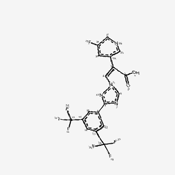 O=C(O)C(=Cn1cnc(-c2cc(C(F)(F)F)cc(C(F)(F)F)c2)n1)c1cncc(F)c1